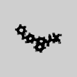 O=C(Nc1ccc(-c2ccc(CN3CCOCC3)nc2)c2ccccc12)NC(F)(F)F